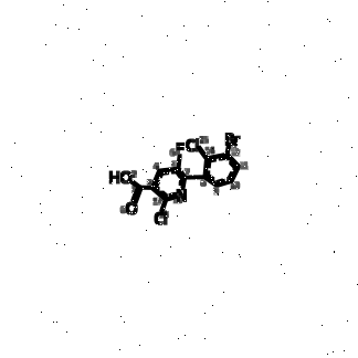 O=C(O)c1cc(F)c(-c2cccc(Br)c2Cl)nc1Cl